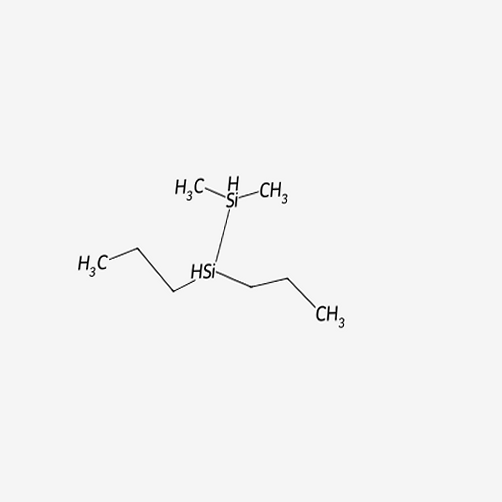 CCC[SiH](CCC)[SiH](C)C